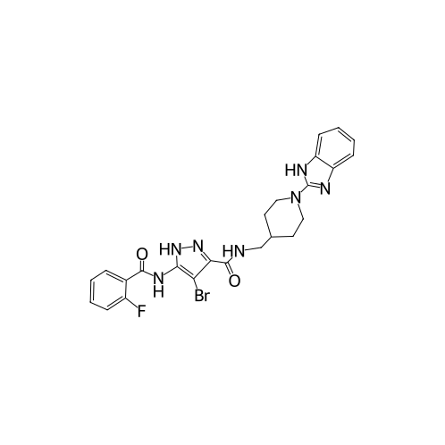 O=C(Nc1[nH]nc(C(=O)NCC2CCN(c3nc4ccccc4[nH]3)CC2)c1Br)c1ccccc1F